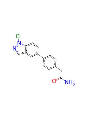 NC(=O)Cc1ccc(-c2ccc3c(cnn3Cl)c2)cc1